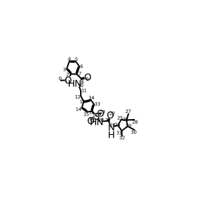 COc1ccccc1C(=O)NCCc1ccc(S(=O)(=O)NC(=O)NC2CC(C)(C)C(C)C2C)cc1